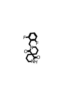 O=C1NCCCC12CCCN(Cc1c(F)cccc1F)C2=O